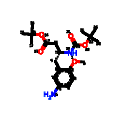 COc1ccc(N)cc1C[C@H](CC(=O)OC(C)(C)C)NC(=O)OC(C)(C)C